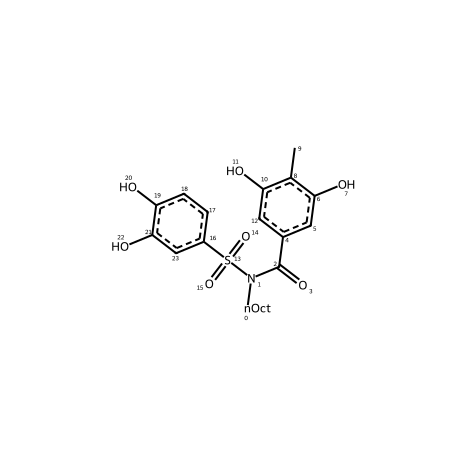 CCCCCCCCN(C(=O)c1cc(O)c(C)c(O)c1)S(=O)(=O)c1ccc(O)c(O)c1